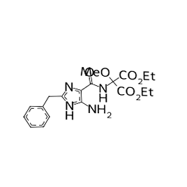 CCOC(=O)C(NC(=O)c1nc(Cc2ccccc2)[nH]c1N)(OC)C(=O)OCC